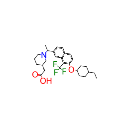 CCC1CCC(Oc2ccc3ccc(C(C)N4CCC[C@H](CC(=O)O)C4)cc3c2C(F)(F)F)CC1